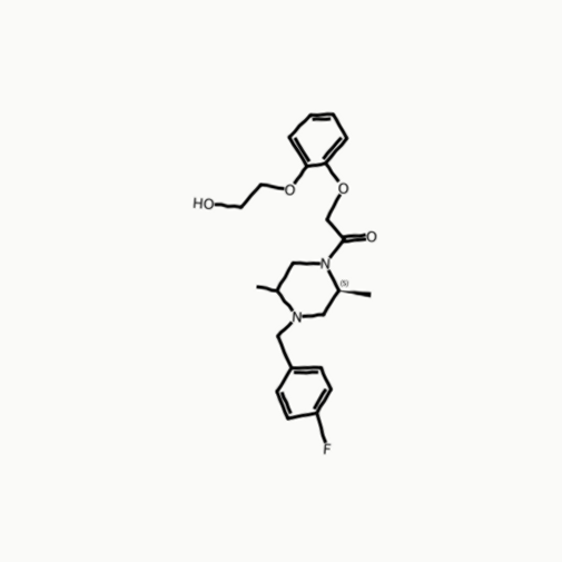 CC1CN(C(=O)COc2ccccc2OCCO)[C@@H](C)CN1Cc1ccc(F)cc1